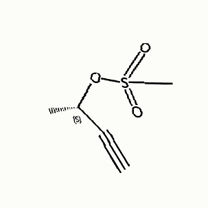 C#C[C@H](C)OS(C)(=O)=O